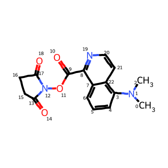 CN(C)c1cccc2c(C(=O)ON3C(=O)CCC3=O)nccc12